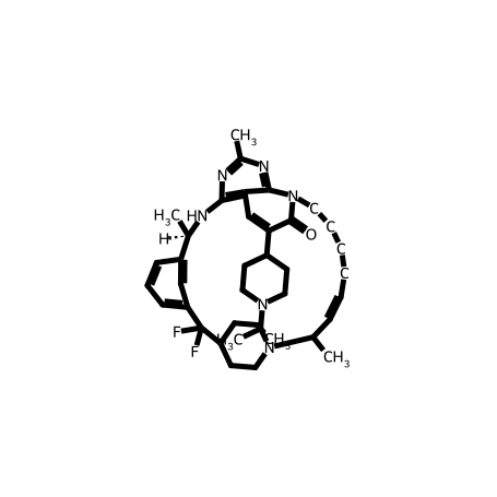 Cc1nc2c3cc(C4CCN(C(C)C)CC4)c(=O)n(c3n1)CCCC/C=C\C(C)N1CCC(CC1)C(F)(F)c1cccc(c1)[C@@H](C)N2